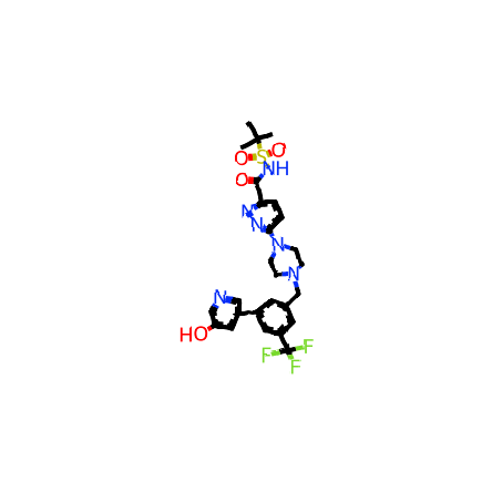 CC(C)(C)S(=O)(=O)NC(=O)c1ccc(N2CCN(Cc3cc(-c4cncc(O)c4)cc(C(F)(F)F)c3)CC2)nn1